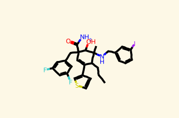 CCCC1C(c2ccsc2)=CC(Cc2cc(F)cc(F)c2)(C(N)=O)C(O)C1(C)NCc1cccc(I)c1